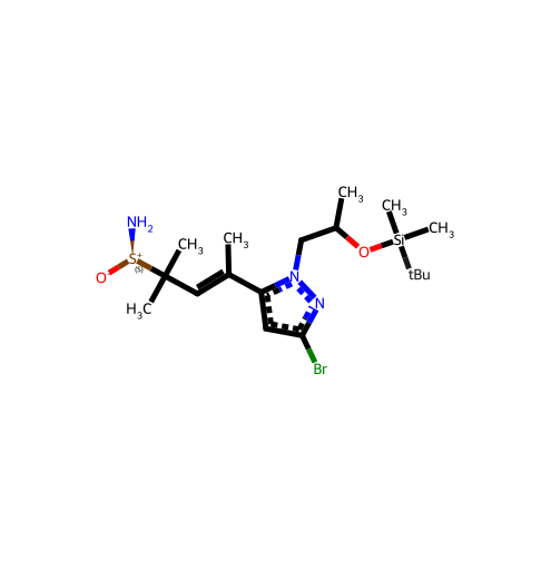 CC(=CC(C)(C)[S@+](N)[O-])c1cc(Br)nn1CC(C)O[Si](C)(C)C(C)(C)C